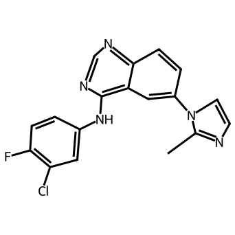 Cc1nccn1-c1ccc2ncnc(Nc3ccc(F)c(Cl)c3)c2c1